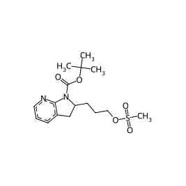 CC(C)(C)OC(=O)N1c2ncccc2CC1CCCOS(C)(=O)=O